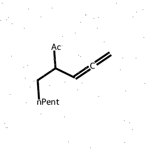 C=C=CC(CCCCCC)C(C)=O